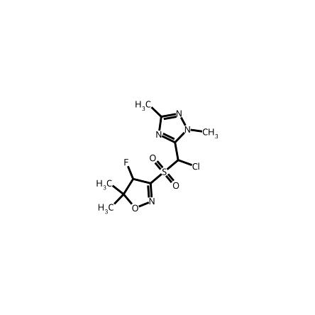 Cc1nc(C(Cl)S(=O)(=O)C2=NOC(C)(C)C2F)n(C)n1